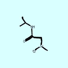 CC(C)NC(=O)C[S+](C)[O-]